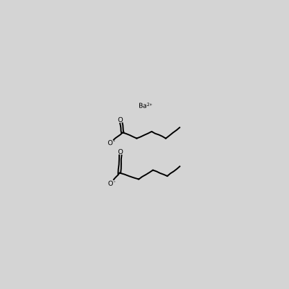 CCCCC(=O)[O-].CCCCC(=O)[O-].[Ba+2]